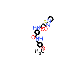 COc1ccc(CNC(=O)c2ccc(NC(=O)C[C@@H]3SC(N4CCCCC4)=NC3=O)cc2)cc1